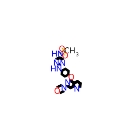 CS(=O)(=O)Nc1cnc(NC2CCC(Oc3nc(N4CCOCC4)cc4ncccc34)CC2)nc1